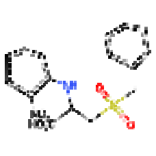 O=C(O)C(CS(=O)(=O)Cc1ccccc1)Nc1ccccc1[N+](=O)[O-]